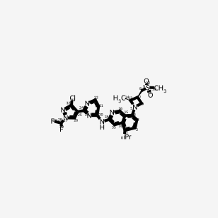 CC(C)c1ccc(N2C[C@H](CS(C)(=O)=O)[C@H]2C)c2cnc(Nc3ccnc(-c4cn(C(F)F)nc4Cl)n3)cc12